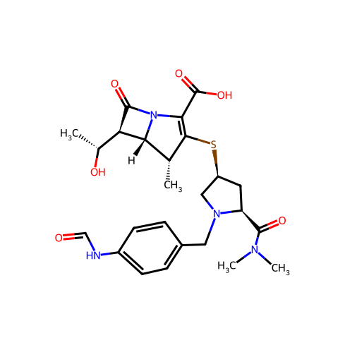 C[C@@H](O)[C@H]1C(=O)N2C(C(=O)O)=C(S[C@H]3C[C@@H](C(=O)N(C)C)N(Cc4ccc(NC=O)cc4)C3)[C@H](C)[C@H]12